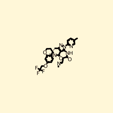 C/N=C/CC(=O)Nc1c2c(nn1-c1ccc(C)cn1)C[C@]1(CCOc3cc(OCC(F)(F)F)ccc31)NC2=O